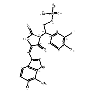 Cc1c(Cl)ccc2c(C=C3NC(=O)N(C(COP(=O)(O)O)c4ccc(F)c(F)c4)C3=O)c[nH]c12